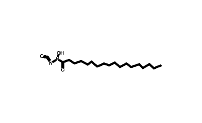 CCCCCCCCCCCCCCCCCC(=O)N(O)N=C=O